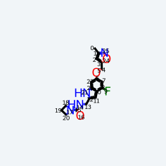 Cc1cc(COc2cc(F)c3cc(CNC(=O)N4CCC4)[nH]c3c2)on1